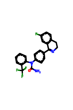 NC(=O)N(c1ccc(C2=NCCc3ccc(F)cc32)cc1)c1ccccc1C(F)(F)F